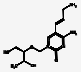 CC(O)[C@@H](CO)OCn1cc(/C=C/CN)c(N)nc1=O